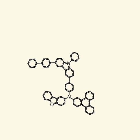 c1ccc(-c2ccc(-c3ccc4c(c3)c3cc(-c5ccc(N(c6ccc7oc8ccccc8c7c6)c6ccc7c8ccccc8c8ccccc8c7c6)cc5)ccc3n4-c3ccccc3)cc2)cc1